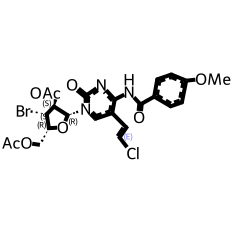 COc1ccc(C(=O)Nc2nc(=O)n([C@@H]3O[C@H](COC(C)=O)[C@H](Br)[C@H]3OC(C)=O)cc2/C=C/Cl)cc1